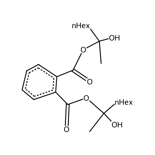 CCCCCCC(C)(O)OC(=O)c1ccccc1C(=O)OC(C)(O)CCCCCC